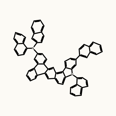 c1ccc2cc(-c3ccc4c5c6cc7c8ccc(N(c9ccc%10ccccc%10c9)c9cccc%10ccccc9%10)cc8c8ccccc8c7cc6ccc5n(-c5cccc6ccccc56)c4c3)ccc2c1